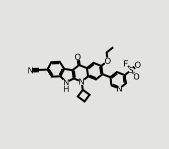 CCOc1cc2c(=O)c3c4ccc(C#N)cc4[nH]c3n(C3CCC3)c2cc1-c1cncc(S(=O)(=O)F)c1